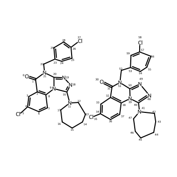 O=c1c2cc(Cl)ccc2n2c(N3CCCCCC3)nnc2n1Cc1ccc(Cl)cc1.O=c1c2cc(Cl)ccc2n2c(N3CCCCCC3)nnc2n1Cc1cccc(Cl)c1